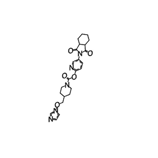 O=C(Oc1ccc(N2C(=O)C3CCCCC3C2=O)cn1)N1CCC(COn2ccnc2)CC1